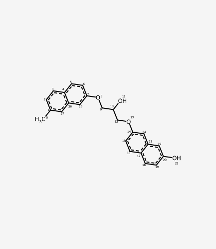 Cc1ccc2ccc(OCC(O)COc3ccc4ccc(O)cc4c3)cc2c1